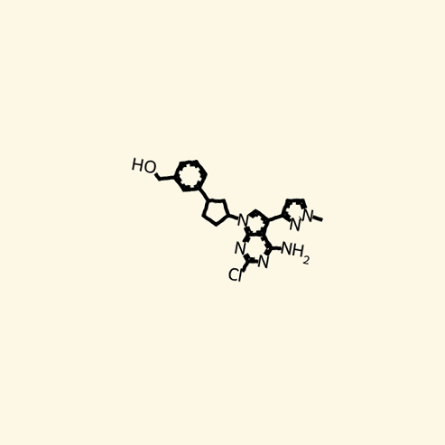 Cn1ccc(-c2cn(C3CCC(c4cccc(CO)c4)C3)c3nc(Cl)nc(N)c23)n1